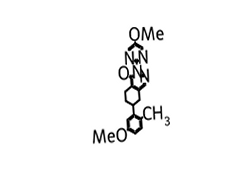 COc1cnc(-n2ncc3c(c2=O)CCC(c2cc(OC)ccc2C)C3)nc1